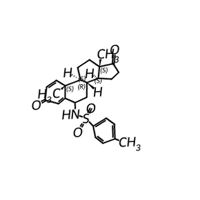 Cc1ccc(S(=O)(=O)NC2C[C@@H]3[C@H](CC[C@]4(C)C(=O)CC[C@@H]34)[C@@]3(C)C=CC(=O)C=C23)cc1